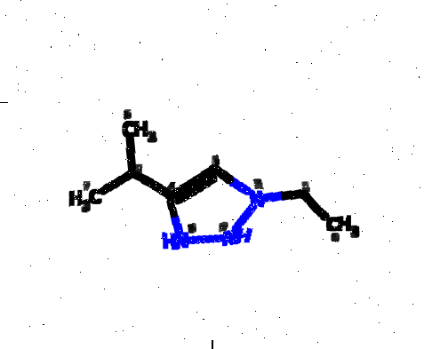 CCN1C=C(C(C)C)NN1